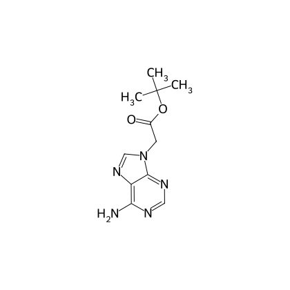 CC(C)(C)OC(=O)Cn1cnc2c(N)ncnc21